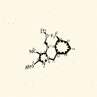 CCOC=Nc1c(C#N)c(SC)nn1Cc1cccc(C(F)(F)F)c1